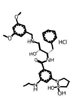 CCNc1cc(C(=O)N[C@@H](Cc2ccccc2)[C@H](O)CNCc2cc(OC)cc(OC)c2)cc(N2CCCS2(O)O)c1.Cl